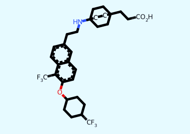 O=C(O)CCC12CCC(NCCc3ccc4c(C(F)(F)F)c(OC5CCC(C(F)(F)F)CC5)ccc4c3)(CC1)CC2